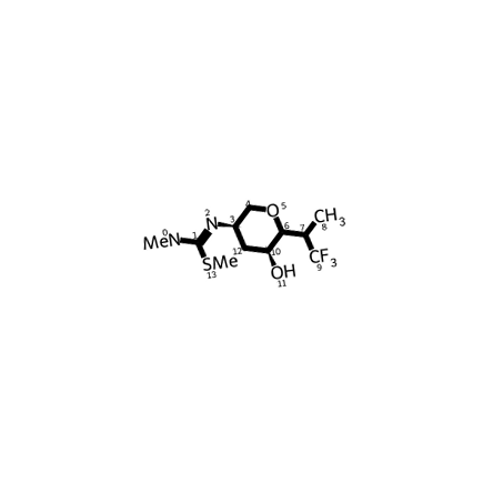 CN/C(=N/[C@H]1COC(C(C)C(F)(F)F)[C@@H](O)C1)SC